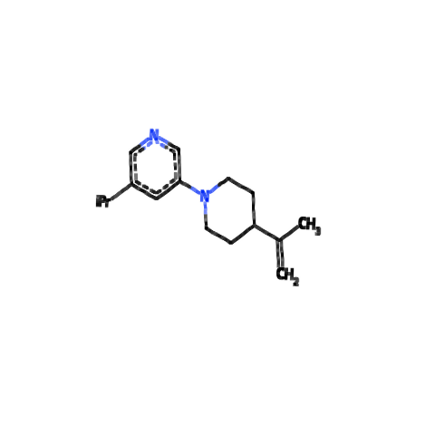 C=C(C)C1CCN(c2cncc(C(C)C)c2)CC1